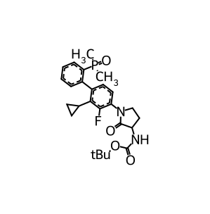 CC(C)(C)OC(=O)NC1CCN(c2ccc(-c3ccccc3P(C)(C)=O)c(C3CC3)c2F)C1=O